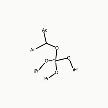 CC(=O)C([O][Ti]([O]C(C)C)([O]C(C)C)[O]C(C)C)C(C)=O